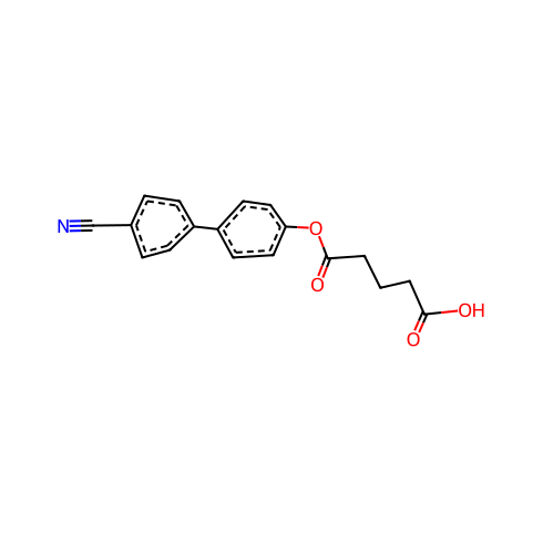 N#Cc1ccc(-c2ccc(OC(=O)CCCC(=O)O)cc2)cc1